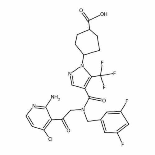 Nc1nccc(Cl)c1C(=O)CN(Cc1cc(F)cc(F)c1)C(=O)c1cnn(C2CCC(C(=O)O)CC2)c1C(F)(F)F